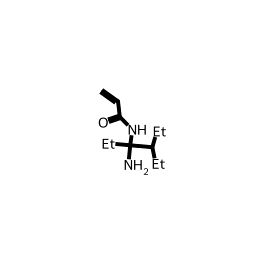 C=CC(=O)NC(N)(CC)C(CC)CC